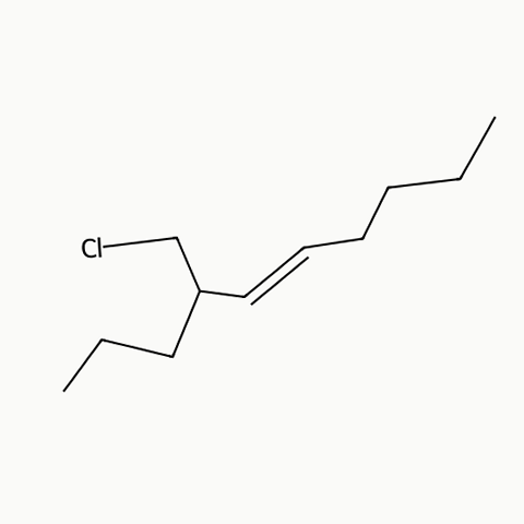 CCCCC=CC(CCl)CCC